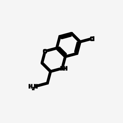 NCC1COc2ccc(Cl)cc2N1